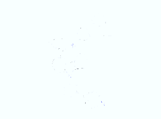 CC1(C)c2ccccc2-c2ccc(N(c3ccccc3)c3cccc4c3c3ccccc3n4-c3cccc(-c4ccncc4)c3)cc21